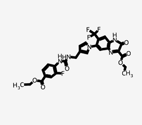 CCOC(=O)c1ccc(NC(=O)NCc2ccn(-c3cc4nc(C(=O)OCC)c(=O)[nH]c4cc3C(F)(F)F)c2)c(F)c1